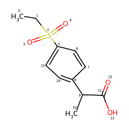 CCS(=O)(=O)c1ccc(C(C)C(=O)O)cc1